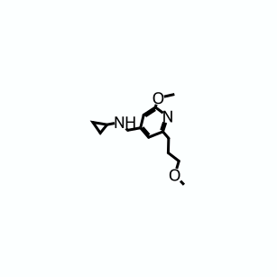 COCCCc1cc(CNC2CC2)cc(OC)n1